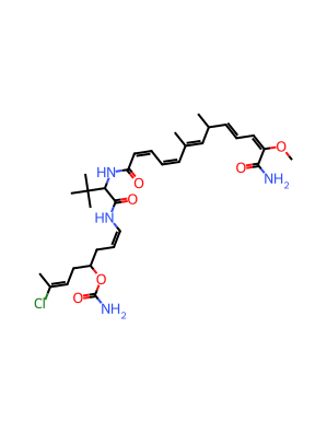 CO/C(=C/C=C/C(C)/C=C(C)/C=C\C=C/C(=O)NC(C(=O)N/C=C\CC(C/C=C(\C)Cl)OC(N)=O)C(C)(C)C)C(N)=O